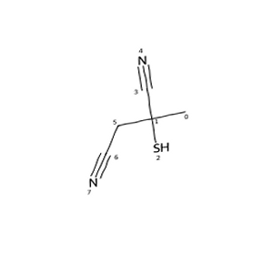 CC(S)(C#N)CC#N